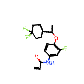 C=CC(=O)Nc1ccc(OC(C)C2CCC(F)(F)CC2)c(F)c1